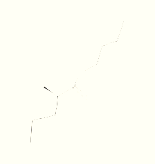 CCCCOC(=O)[C@H](O)CCC